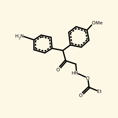 CCC(=O)ONCC(=O)C(c1ccc(N)cc1)c1ccc(OC)cc1